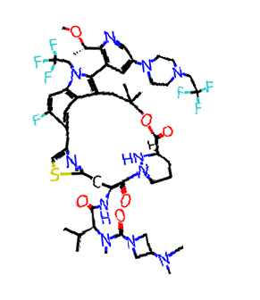 CO[C@@H](C)c1ncc(N2CCN(CC(F)(F)F)CC2)cc1-c1c2c3cc(c(F)cc3n1CC(F)(F)F)-c1csc(n1)C[C@H](NC(=O)[C@H](C(C)C)N(C)C(=O)N1CC(N(C)C)C1)C(=O)N1CCC[C@H](N1)C(=O)OCC(C)(C)C2